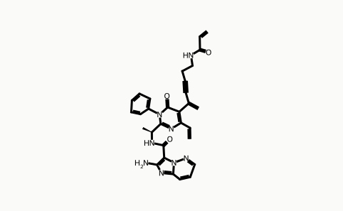 C=CC(=O)NCCC#CC(=C)c1c(C=C)nc([C@H](C)NC(=O)c2c(N)nc3cccnn23)n(-c2ccccc2)c1=O